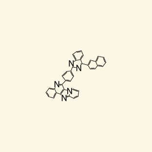 c1ccc2cc(-c3nc(-c4ccc(-c5nc6ccccc6c6nc7ccccn7c56)cc4)nc4ccccc34)ccc2c1